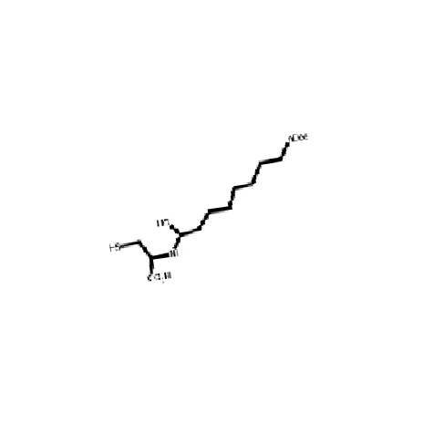 CCCCCCCCCCCCCCCCCC(O)NC(CS)C(=O)O